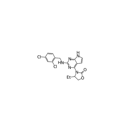 CCC1COC(=O)N1c1nc(NCc2ccc(Cl)cc2Cl)nc2[nH]ccc12